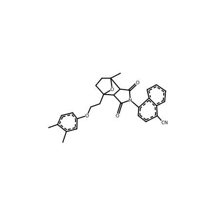 Cc1ccc(OCCC23CCC(C)(O2)C2C(=O)N(c4ccc(C#N)c5ccccc45)C(=O)C23)cc1C